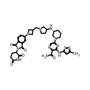 Cc1cc(Nc2nc(N3CCC[C@@H](NC4CCN(CC5CN(c6ccc7c(c6)C(=O)N(C6CCC(=O)NC6=O)C7=O)C5)C4)C3)cnc2C(N)=O)sn1